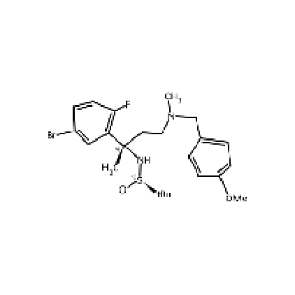 COc1ccc(CN(C)CC[C@](C)(N[S@+]([O-])C(C)(C)C)c2cc(Br)ccc2F)cc1